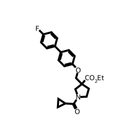 CCOC(=O)C1(COc2ccc(-c3ccc(F)cc3)cc2)CCN(C(=O)C2CC2)C1